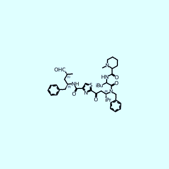 CCC(C)C(NC(=O)C1CCCCN1C)C(=O)N(Cc1ccccc1)[C@H](CC(=O)c1nc(C(=O)N[C@@H](Cc2ccccc2)C[C@H](C)C=O)cs1)C(C)C